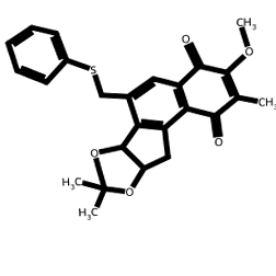 COC1=C(C)C(=O)c2c(cc(CSc3ccccc3)c3c2CC2OC(C)(C)OC32)C1=O